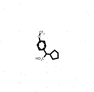 O=C(O)C(c1ccc(OC(F)(F)F)cc1)C1CCCC1